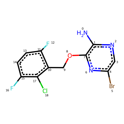 Nc1ncc(Br)nc1OCc1c(F)ccc(F)c1Cl